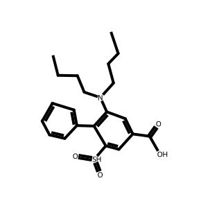 CCCCN(CCCC)c1cc(C(=O)O)cc([SH](=O)=O)c1-c1ccccc1